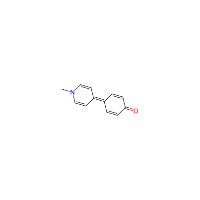 CN1C=CC(=C2C=CC(=O)C=C2)C=C1